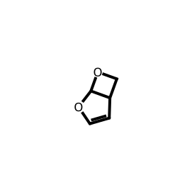 C1=CC2COC2O1